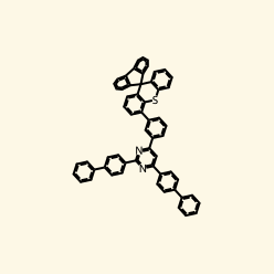 c1ccc(-c2ccc(-c3cc(-c4cccc(-c5cccc6c5Sc5ccccc5C65c6ccccc6-c6ccccc65)c4)nc(-c4ccc(-c5ccccc5)cc4)n3)cc2)cc1